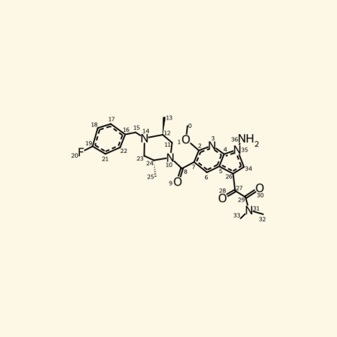 COc1nc2c(cc1C(=O)N1C[C@H](C)N(Cc3ccc(F)cc3)C[C@H]1C)c(C(=O)C(=O)N(C)C)cn2N